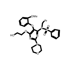 COc1ccccc1Oc1c(OCCO)nc(N2CCOCC2)nc1N(CC(C)C)S(=O)(=O)c1ccccc1